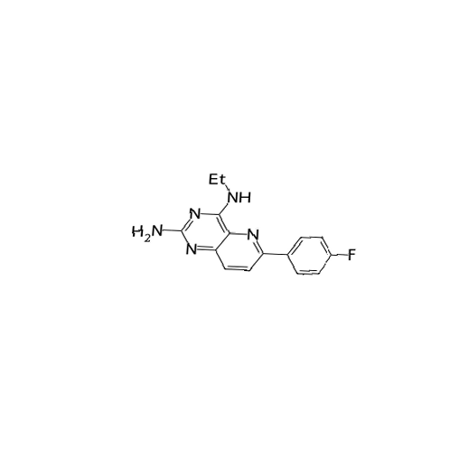 CCNc1nc(N)nc2ccc(-c3ccc(F)cc3)nc12